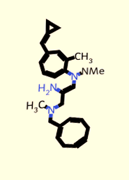 CNN(/C=C(\N)CN(C)CC1=C/CC#CC/C=C\1)C1=C=CC=C(C=C2CC2)C=C1C